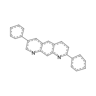 c1ccc(-c2cnc3cc4nc(-c5ccccc5)ccc4cc3c2)cc1